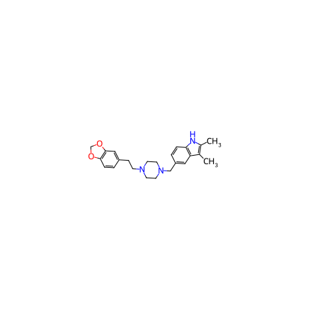 Cc1[nH]c2ccc(CN3CCN(CCc4ccc5c(c4)OCO5)CC3)cc2c1C